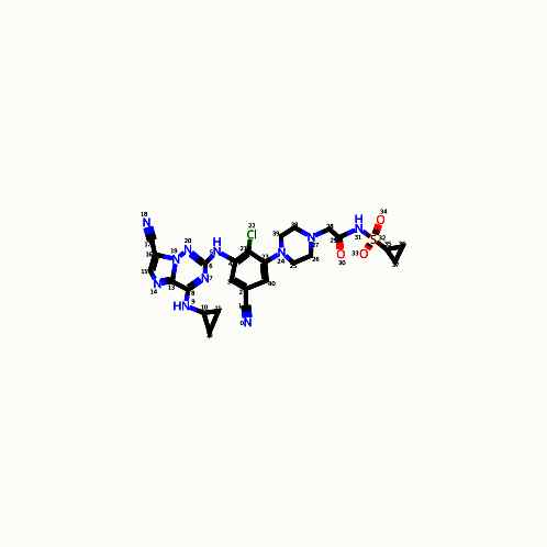 N#Cc1cc(Nc2nc(NC3CC3)c3ncc(C#N)n3n2)c(Cl)c(N2CCN(CC(=O)NS(=O)(=O)C3CC3)CC2)c1